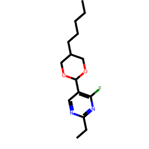 CCCCCC1COC(c2cnc(CC)nc2F)OC1